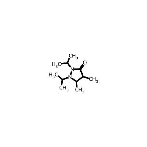 CC1C(=O)N(C(C)C)N(C(C)C)C1C